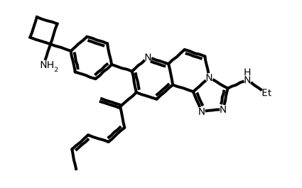 C=C(/C=C\C=C/C)c1cc2c(ccn3c(NCC)nnc23)nc1-c1ccc(C2(N)CCC2)cc1